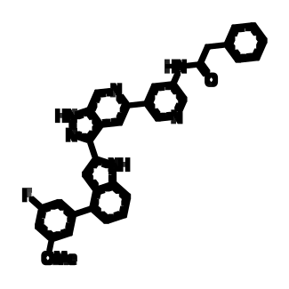 COc1cc(F)cc(-c2cccc3[nH]c(-c4n[nH]c5cnc(-c6cncc(NC(=O)Cc7ccccc7)c6)cc45)cc23)c1